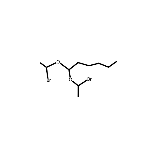 CCCCCC(OC(C)Br)OC(C)Br